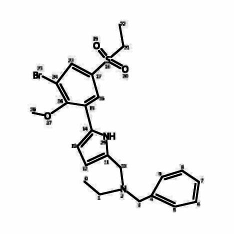 CCN(Cc1ccccc1)Cc1ccc(-c2cc(S(=O)(=O)CC)cc(Br)c2OC)[nH]1